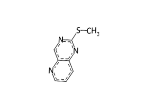 CSc1ncc2ncccc2n1